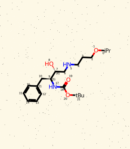 CC(C)OCCCNC[C@@H](O)[C@H](Cc1ccccc1)NC(=O)OC(C)(C)C